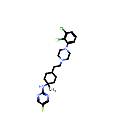 CC1(Nc2ncc(F)cn2)CCC(CCN2CCN(c3cccc(Cl)c3Cl)CC2)CC1